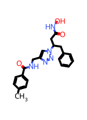 Cc1ccc(C(=O)NCc2cn(C(CC(=O)NO)Cc3ccccc3)nn2)cc1